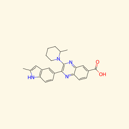 Cc1cc2cc(-c3nc4ccc(C(=O)O)cc4nc3N3CCCCC3C)ccc2[nH]1